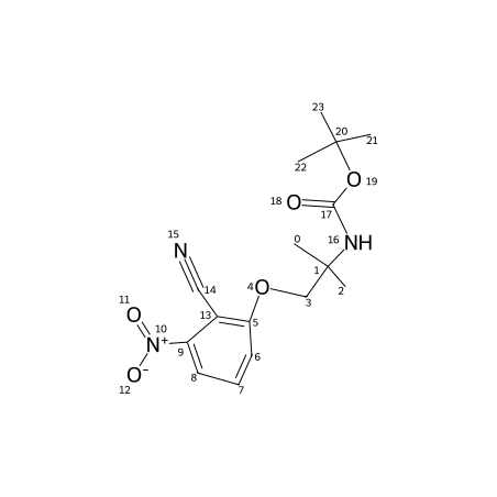 CC(C)(COc1cccc([N+](=O)[O-])c1C#N)NC(=O)OC(C)(C)C